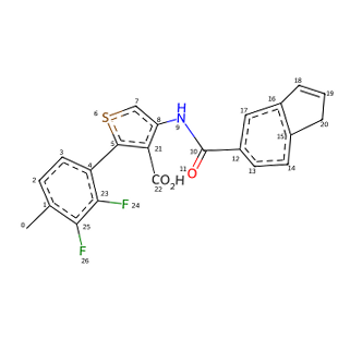 Cc1ccc(-c2scc(NC(=O)c3ccc4c(c3)C=CC4)c2C(=O)O)c(F)c1F